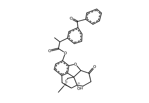 CC(C(=O)Oc1ccc2c3c1OC1C(=O)CC[C@@]4(O)C(C2)N(C)CCC314)c1cccc(C(=O)c2ccccc2)c1